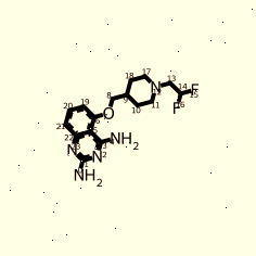 Nc1nc(N)c2c(OCC3CCN(CC(F)F)CC3)cccc2n1